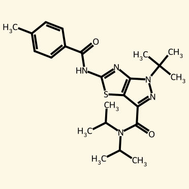 Cc1ccc(C(=O)Nc2nc3c(s2)c(C(=O)N(C(C)C)C(C)C)nn3C(C)(C)C)cc1